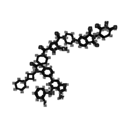 CC(C)n1cnc2cc(-c3ccc4c(c3)N(C3CC(N5CCCCC5)C3)C(=O)C43CCN(C(=O)c4cc(C(=O)N5CCN(c6ccc7c(c6)C(=O)N([C@@H]6CCC(=O)NC6=O)C7=O)CC5)n(C)n4)CC3)nc(Nc3ccccc3F)c21